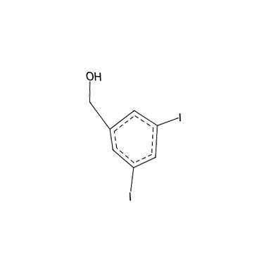 OCc1cc(I)cc(I)c1